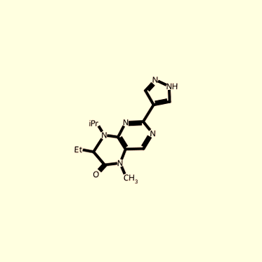 CCC1C(=O)N(C)c2cnc(-c3cn[nH]c3)nc2N1C(C)C